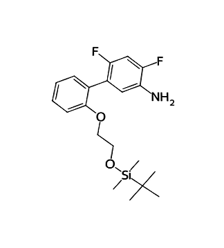 CC(C)(C)[Si](C)(C)OCCOc1ccccc1-c1cc(N)c(F)cc1F